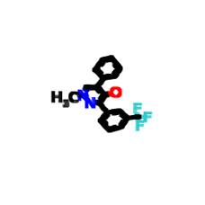 Cn1cc(-c2ccccc2)c(=O)c(-c2cccc(C(F)(F)F)c2)n1